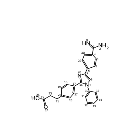 N=C(N)c1ccc(-c2cn(-c3ccccc3)c(-c3ccc(CCC(=O)O)cc3)n2)cc1